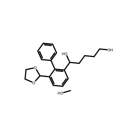 CO.OCCCCC(O)c1cccc(C2OCCO2)c1-c1ccccc1